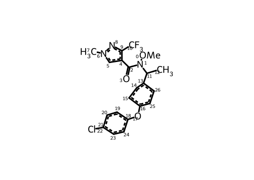 CON(C(=O)c1cn(C)nc1C(F)(F)F)C(C)c1ccc(Oc2ccc(Cl)cc2)cc1